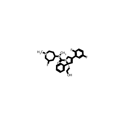 CN1CCC(N(C)C(=O)N2CC(c3cc(F)ccc3F)=C[C@@]2(CCO)c2ccccc2)CC(F)C1